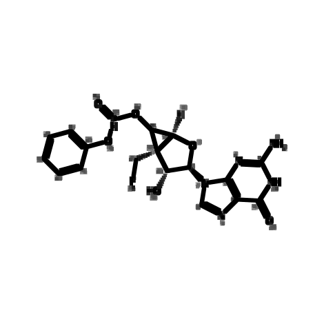 Nc1nc2c(ncn2[C@@H]2O[C@@H]3C(O[PH](=O)Oc4ccccc4)[C@]3(CF)[C@H]2O)c(=O)[nH]1